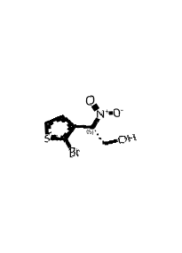 O=[N+]([O-])[C@H](CO)c1ccsc1Br